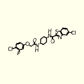 O=C(COc1ccc(Cl)c(F)c1)N[C@H]1CC[C@H](NC(=O)c2nc3cc(Cl)ccc3s2)CC1